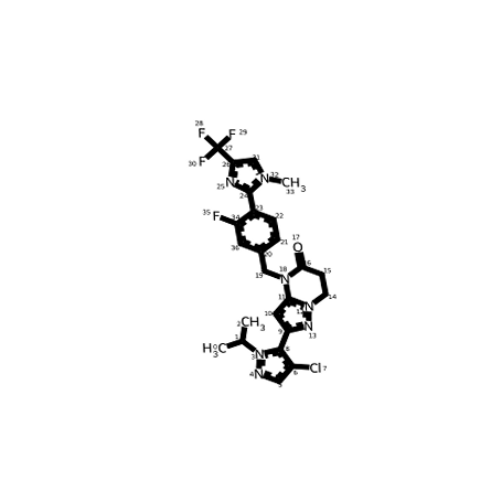 CC(C)n1ncc(Cl)c1-c1cc2n(n1)CCC(=O)N2Cc1ccc(-c2nc(C(F)(F)F)cn2C)c(F)c1